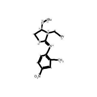 Cc1cc([N+](=O)[O-])ccc1N=C1SC[C@@H](OC(C)(C)C)N1CC(C)C